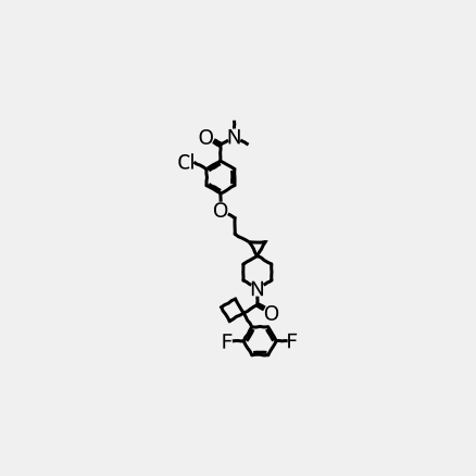 CN(C)C(=O)c1ccc(OCCC2CC23CCN(C(=O)C2(c4cc(F)ccc4F)CCC2)CC3)cc1Cl